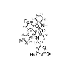 CC(C)c1c(S(=O)(=O)Nc2ccccc2)c(-c2ccc(F)cc2)c(-c2ccc(F)cc2)n1CC[C@@H]1C[C@@H](O)CC(=O)O1